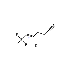 N#CCC/C=C/[B-](F)(F)F.[K+]